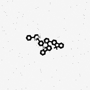 CC1(C)c2ccccc2-c2ccc(-c3ccccc3-c3cccc4c5ccccc5n(-c5ccc(-c6nccc(-c7ccccc7)n6)cc5)c34)cc21